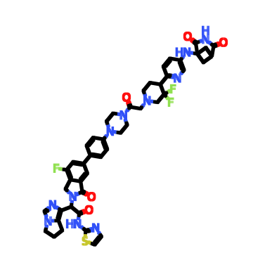 O=C1NC(=O)C2(Nc3ccc(C4CCN(CC(=O)N5CCN(c6ccc(-c7cc(F)c8c(c7)C(=O)N(C(C(=O)Nc7nccs7)c7ncn9c7CCC9)C8)cc6)CC5)CC4(F)F)nc3)CC1C2